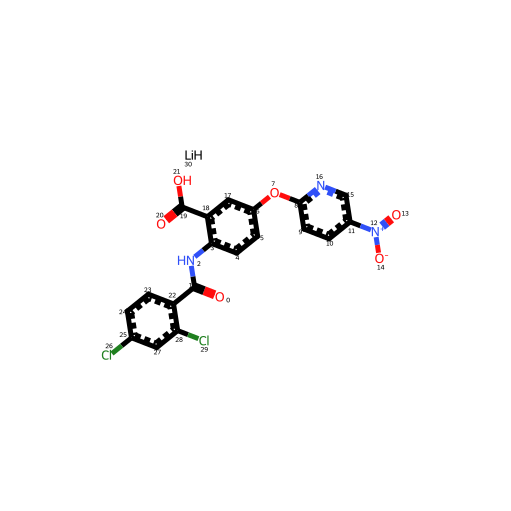 O=C(Nc1ccc(Oc2ccc([N+](=O)[O-])cn2)cc1C(=O)O)c1ccc(Cl)cc1Cl.[LiH]